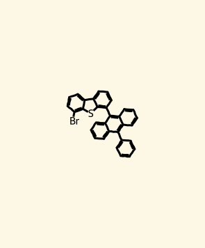 Brc1cccc2c1sc1c(-c3c4ccccc4c(-c4ccccc4)c4ccccc34)cccc12